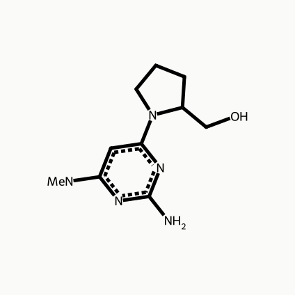 CNc1cc(N2CCCC2CO)nc(N)n1